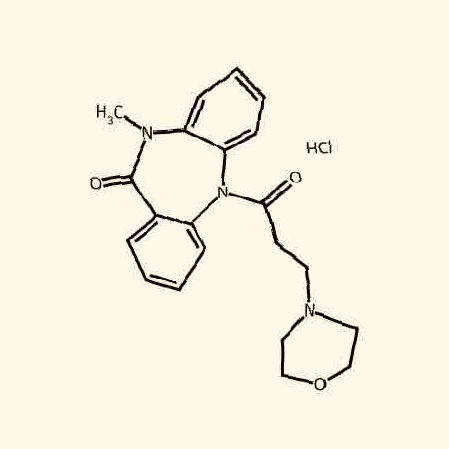 CN1C(=O)c2ccccc2N(C(=O)CCN2CCOCC2)c2ccccc21.Cl